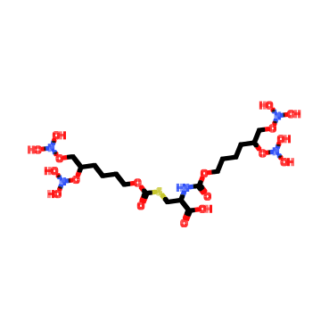 O=C(NC(CSC(=O)OCCCCC(CON(O)O)ON(O)O)C(=O)O)OCCCCC(CON(O)O)ON(O)O